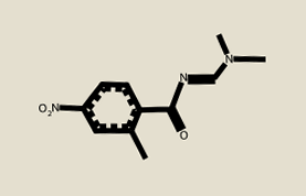 Cc1cc([N+](=O)[O-])ccc1C(=O)N=CN(C)C